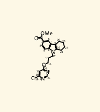 COC(=O)c1ccc2c(c1)c1c(n2CCCOc2cc(Cl)ncn2)CCCC1